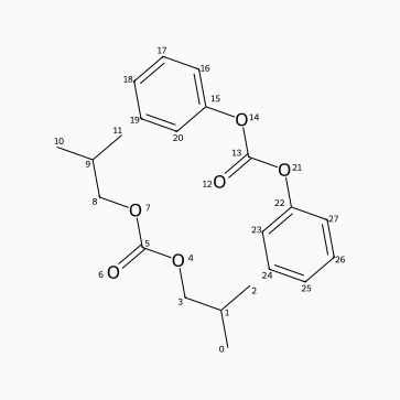 CC(C)COC(=O)OCC(C)C.O=C(Oc1ccccc1)Oc1ccccc1